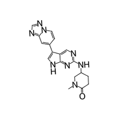 CN1CC(Nc2ncc3c(-c4ccn5ncnc5c4)c[nH]c3n2)CCC1=O